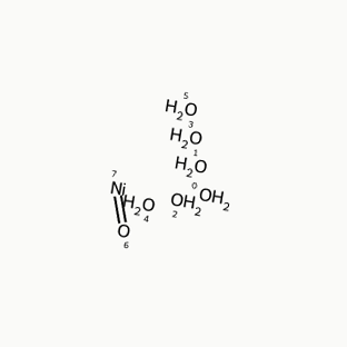 O.O.O.O.O.O.[O]=[Ni]